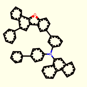 c1ccc(-c2ccc(N(c3cccc(-c4ccc5oc6c7ccccc7c(-c7ccccc7)cc6c5c4)c3)c3cc4ccccc4c4ccccc34)cc2)cc1